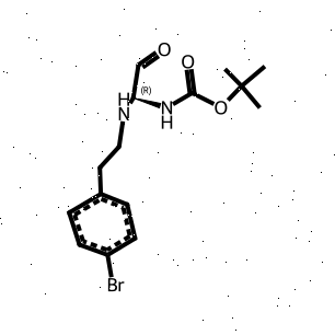 CC(C)(C)OC(=O)N[C@H](C=O)NCCc1ccc(Br)cc1